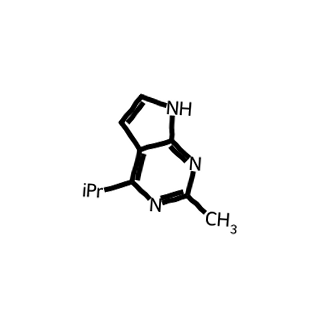 Cc1nc(C(C)C)c2cc[nH]c2n1